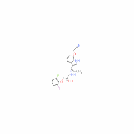 C/C(=C\c1c[nH]c2c(OCC#N)cccc12)NC[C@H](O)COc1c(F)cccc1I